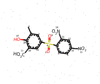 Cc1cc(S(=O)(=O)c2ccc([N+](=O)[O-])cc2[N+](=O)[O-])cc(C(=O)O)c1O